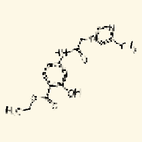 CCOC(=O)c1ccc(NC(=O)Cn2cnc(C)c2)cc1O